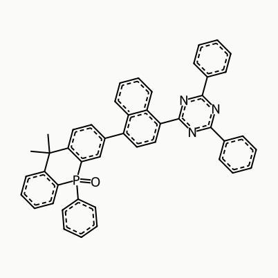 CC1(C)c2ccccc2P(=O)(c2ccccc2)c2cc(-c3ccc(-c4nc(-c5ccccc5)nc(-c5ccccc5)n4)c4ccccc34)ccc21